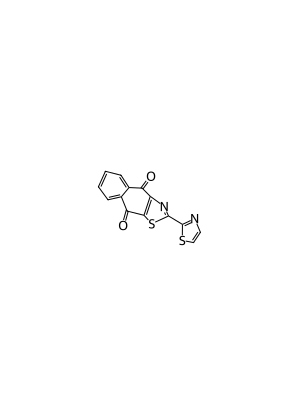 O=C1c2ccccc2C(=O)c2sc(-c3nccs3)nc21